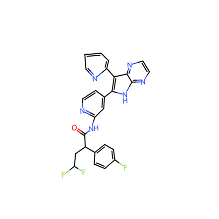 O=C(Nc1cc(-c2[nH]c3nccnc3c2-c2ccccn2)ccn1)C(CC(F)F)c1ccc(F)cc1